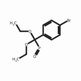 CCOC(OCC)(P=O)c1ccc(Br)cc1